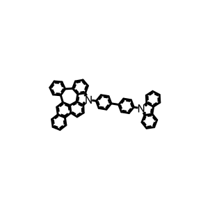 c1ccc2c(c1)-c1cc3ccccc3c3ccc4c(c13)c1c-2cccc1n4-c1ccc(-c2ccc(-n3c4ccccc4c4ccccc43)cc2)cc1